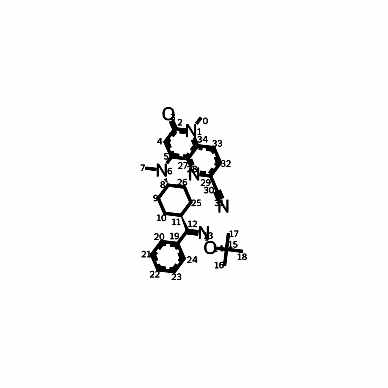 Cn1c(=O)cc(N(C)[C@H]2CC[C@H](C(=NOC(C)(C)C)c3ccccc3)CC2)c2nc(C#N)ccc21